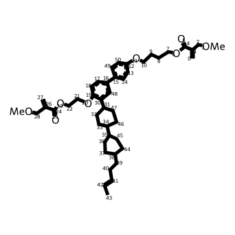 C=C(COC)C(=O)OCCCCOc1ccc(-c2ccc(OCCOC(=O)C(=C)COC)c(C3CCC(C4CCC(CC/C=C/C)CC4)CC3)c2)cc1